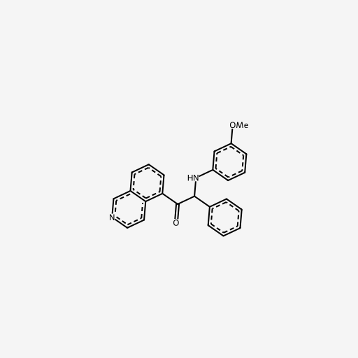 COc1cccc(NC(C(=O)c2cccc3cnccc23)c2ccccc2)c1